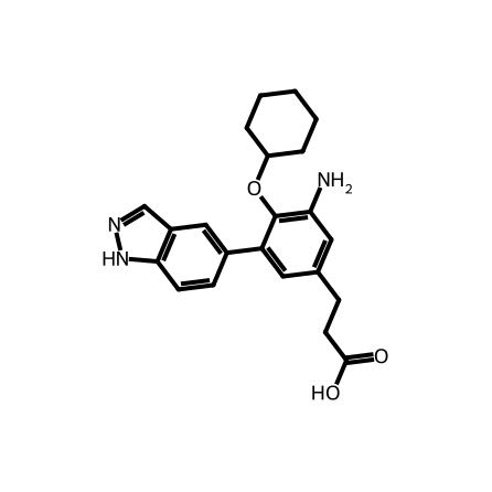 Nc1cc(CCC(=O)O)cc(-c2ccc3[nH]ncc3c2)c1OC1CCCCC1